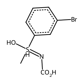 C[SH](O)(=NC(=O)O)c1cccc(Br)c1